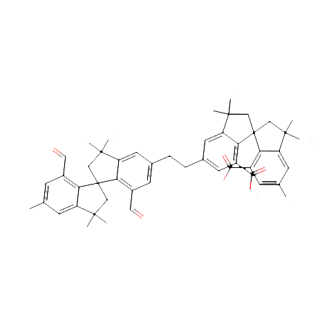 Cc1cc(C=O)c2c(c1)C(C)(C)CC21CC(C)(C)c2cc(CCc3cc(C(=O)O)c4c(c3)C(C)(C)CC43CC(C)(C)c4cc(C)cc(C(=O)O)c43)cc(C=O)c21